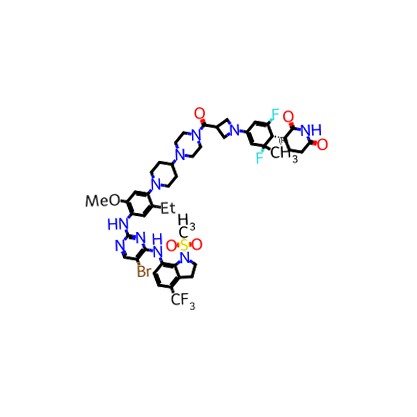 CCc1cc(Nc2ncc(Br)c(Nc3ccc(C(F)(F)F)c4c3N(S(C)(=O)=O)CC4)n2)c(OC)cc1N1CCC(N2CCN(C(=O)C3CN(C4=CC(C)(F)C([C@H]5CCC(=O)NC5=O)C(F)=C4)C3)CC2)CC1